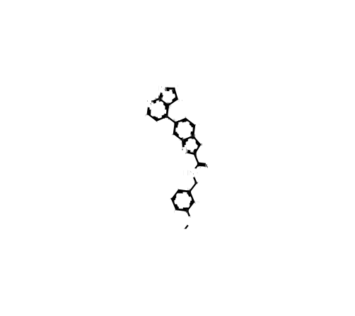 COc1cccc(CNC(=O)c2cc3ccc(-c4ccnc5[nH]ccc45)cc3[nH]2)c1